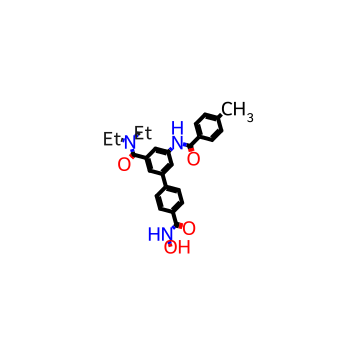 CCN(CC)C(=O)c1cc(NC(=O)c2ccc(C)cc2)cc(-c2ccc(C(=O)NO)cc2)c1